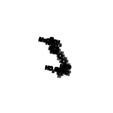 COC(=O)N[C@@H](C)C(=O)N1CCCC1c1ncc(-c2ccc(-c3ccc(-c4cnc(C5CCCN5C(=O)[C@@H]5CCC[C@H]5NC(=O)O)[nH]4)cc3)cc2)[nH]1